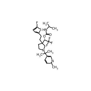 Cc1ccc(C(C)(C)N2CCC(CCc3ccc(F)s3)([C@H](OC(=O)NC(C)C)C(F)(F)F)C2)cn1